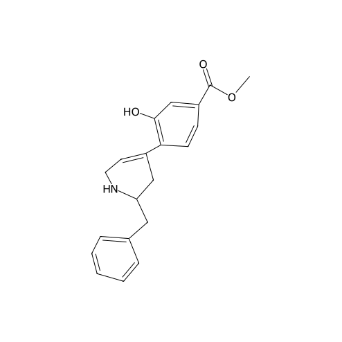 COC(=O)c1ccc(C2=CCNC(Cc3ccccc3)C2)c(O)c1